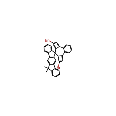 CC1(C)c2ccccc2-c2cc3c(cc21)-c1ccccc1C31c2cc(Br)ccc2-c2ccccc2-c2ccc(Br)cc21